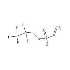 C=CS(=O)(=O)OCC(F)(F)C(F)(F)F